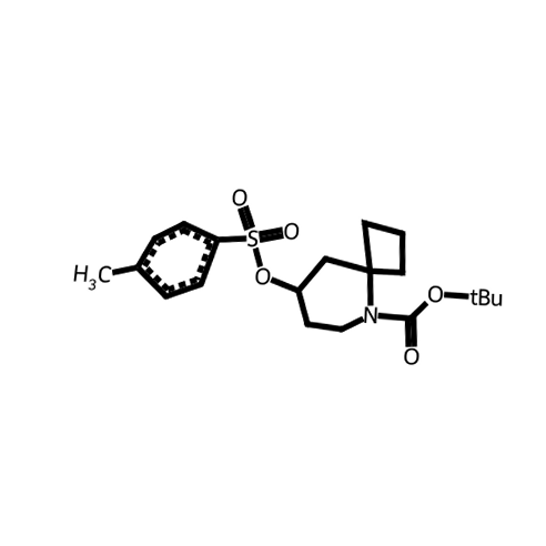 Cc1ccc(S(=O)(=O)OC2CCN(C(=O)OC(C)(C)C)C3(CCC3)C2)cc1